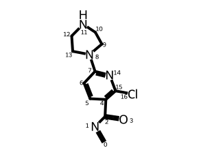 C=NC(=O)c1ccc(N2CCNCC2)nc1Cl